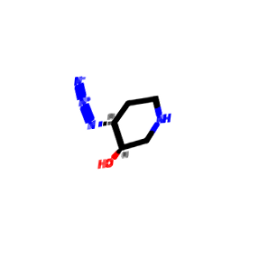 [N-]=[N+]=N[C@@H]1CCNC[C@H]1O